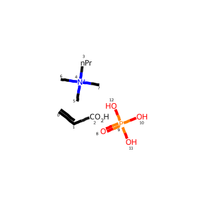 C=CC(=O)O.CCC[N+](C)(C)C.O=P(O)(O)O